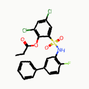 CCC(=O)Oc1c(Cl)cc(Cl)cc1S(=O)(=O)Nc1cc(-c2ccccc2)ccc1F